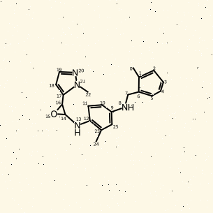 Cc1ccccc1CNc1ccc(NC2OC2c2ccnn2C)c(C)c1